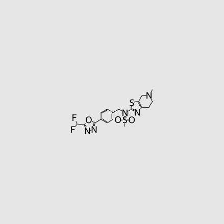 CN1CCc2nc(N(Cc3ccc(-c4nnc(C(F)F)o4)cc3)S(C)(=O)=O)sc2C1